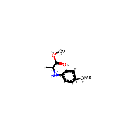 COc1ccc(N[C@@H](C)C(=O)OC(C)(C)C)cc1